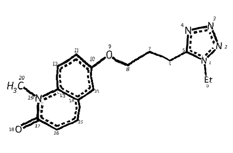 CCn1nnnc1CCCOc1ccc2c(ccc(=O)n2C)c1